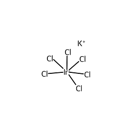 [Cl][Ir-]([Cl])([Cl])([Cl])([Cl])[Cl].[K+]